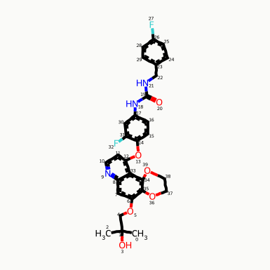 CC(C)(O)COc1cc2nccc(Oc3ccc(NC(=O)NCc4ccc(F)cc4)cc3F)c2c2c1OCCO2